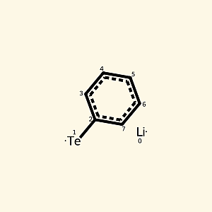 [Li].[Te]c1ccccc1